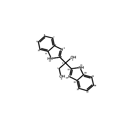 OCC(O)(c1nc2ccccc2[nH]1)c1nc2ccccc2[nH]1